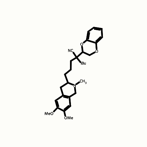 CCC(C)C(C#N)(CCCC1Cc2cc(OC)c(OC)cc2CN1C)C1COc2ccccc2O1